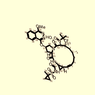 CC[C@@H]1C[C@H](C)CCC=C[C@@H]2C[C@@]2(C(=O)NS(=O)(=O)C2(C)CC2)NC(=O)[C@@H]2C[C@@H](Oc3nnc(OC)c4ccccc34)CN2C(=O)[C@H]1N(C(=O)O)C(C)(C)C(F)(F)F